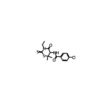 CCN1C(=O)C(NC(=O)c2ccc(Cl)cc2)C(C)(C)SC1=S